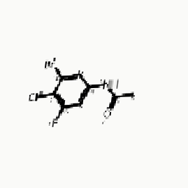 CC(=O)Nc1cc(F)c(Cl)c(Br)c1